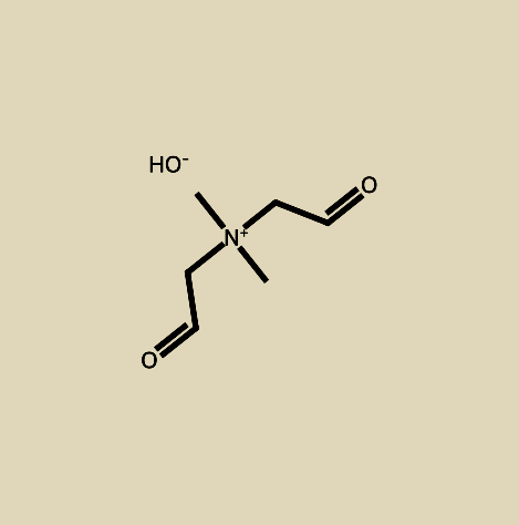 C[N+](C)(CC=O)CC=O.[OH-]